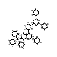 c1ccc(-c2cc(-c3ccccc3)nc(-c3cccc(-c4cc(-c5ccccc5)nc5cc6c(cc45)-c4ccccc4C64c5ccccc5-c5ccccc54)c3)n2)cc1